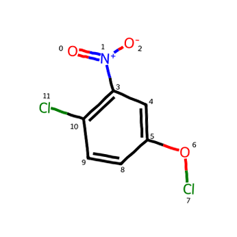 O=[N+]([O-])c1cc(OCl)ccc1Cl